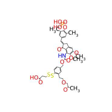 COc1cc2c(c(NC(=O)OCc3ccc(SSCCC(=O)O)c(CCOCC(C)=O)c3)c1OC)C(=O)/C(=C/c1cc(C)c(OP(=O)(O)O)c(C)c1)C2